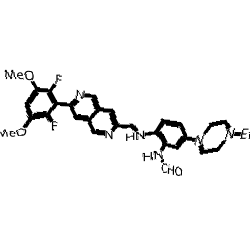 CCN1CCN(c2ccc(NCc3cc4cnc(-c5c(F)c(OC)cc(OC)c5F)cc4cn3)c(NC=O)c2)CC1